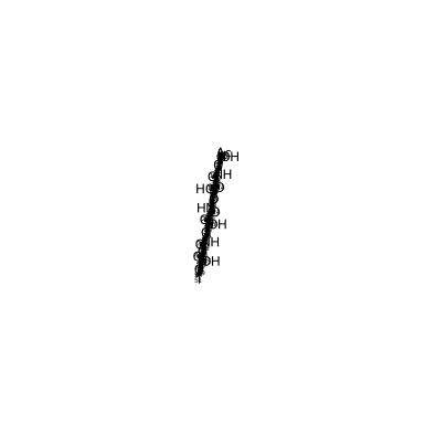 CC(=O)N(O)CCOCCNC(=O)CCC(=O)N(O)CCOCCNC(=O)CCC(=O)N(O)CCOCCNC(=O)COCC(=O)N(O)CCOCCI